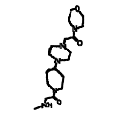 CNCC(=O)N1CCC(N2CCN(CC(=O)N3CCOCC3)CC2)CC1